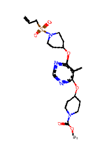 C=CCS(=O)(=O)N1CCC(Oc2ncnc(OC3CCN(C(=O)OC(C)C)CC3)c2C)CC1